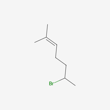 CC(C)=CCCC(C)Br